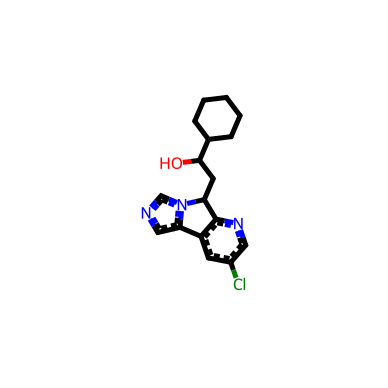 OC(CC1c2ncc(Cl)cc2-c2cncn21)C1CCCCC1